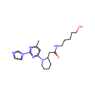 Cc1cc(N2CCCCC2CC(=O)NCCCCCO)nc(-n2ccnc2)n1